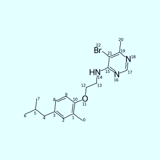 Cc1cc(CC(C)C)ccc1OCCNc1ncnc(C)c1Br